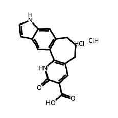 Cl.Cl.O=C(O)c1cc2c([nH]c1=O)-c1cc3cc[nH]c3cc1CCC2